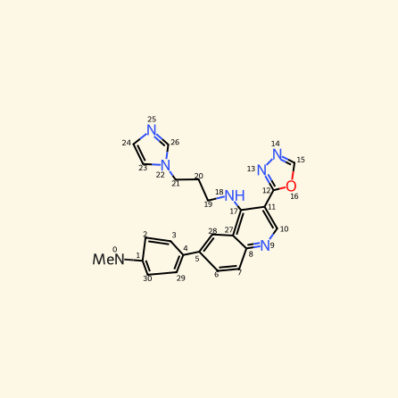 CNc1ccc(-c2ccc3ncc(-c4nnco4)c(NCCCn4ccnc4)c3c2)cc1